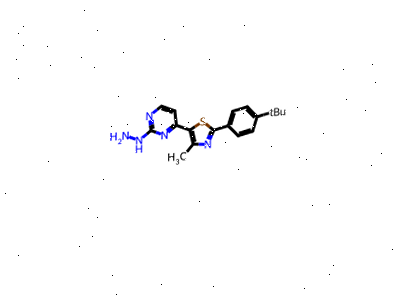 Cc1nc(-c2ccc(C(C)(C)C)cc2)sc1-c1ccnc(NN)n1